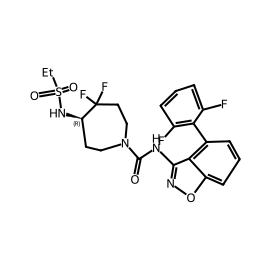 CCS(=O)(=O)N[C@@H]1CCN(C(=O)Nc2noc3cccc(-c4c(F)cccc4F)c23)CCC1(F)F